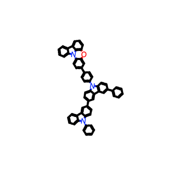 c1ccc(-c2ccc3c(c2)c2cc(-c4ccc5c(c4)c4ccccc4n5-c4ccccc4)ccc2n3-c2ccc(-c3ccc4c(c3)Oc3cccc5c6ccccc6n-4c35)cc2)cc1